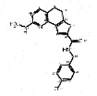 CNc1ncc2c(n1)-c1cc(C(=O)NCc3ccc(Cl)cc3)sc1CC2